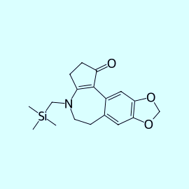 C[Si](C)(C)CN1CCc2cc3c(cc2C2=C1CCC2=O)OCO3